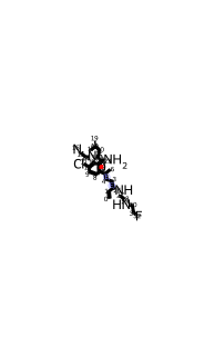 C=C/C(=C\C=C(/C)c1ccc(Cl)c([N+]2(CC#N)C[C@@H](C)C[C@H]2C(N)=O)c1)NCCNCCF